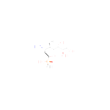 C[C@H]1[C@H]([C@H](O)[C@H](O)CO)OC(P(C)(=O)O)=C[C@@H]1N